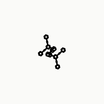 C(#Cc1cc(C#Cc2ccccc2)cc(C23CC4CC(C2)CC(C25CC6CC(CC(c7cc(C#Cc8ccccc8)cc(C#Cc8ccccc8)c7)(C6)C2)C5)(C4)C3)c1)c1ccccc1